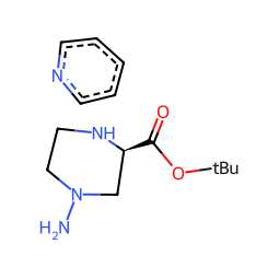 CC(C)(C)OC(=O)[C@H]1CN(N)CCN1.c1ccncc1